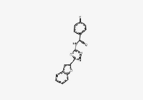 O=C(Nc1nnc(-c2cc3ccccc3o2)o1)c1ccc(F)cc1